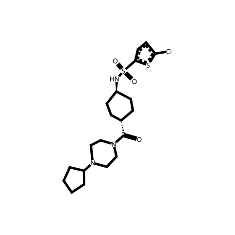 O=C([C@H]1CC[C@H](NS(=O)(=O)c2ccc(Cl)s2)CC1)N1CCN(C2CCCC2)CC1